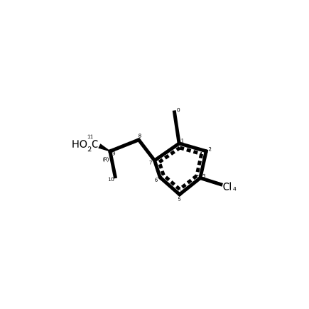 Cc1cc(Cl)ccc1C[C@@H](C)C(=O)O